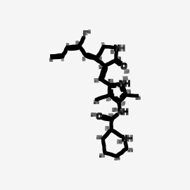 C=C\C=C(F)/C=C1\CNC(=O)\C1=C/c1[nH]c(C)c(NC(=O)C2CCCCN2)c1C